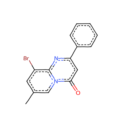 Cc1cc(Br)c2nc(-c3ccccc3)cc(=O)n2c1